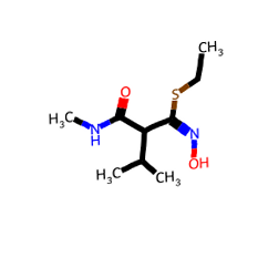 CCSC(=NO)C(C(=O)NC)C(C)C